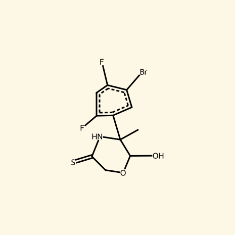 CC1(c2cc(Br)c(F)cc2F)NC(=S)COC1O